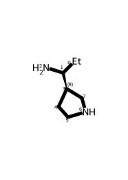 CCC(N)[C@@H]1CCNC1